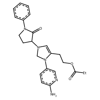 CCC(=O)OCCC1=CN(C2CCN(c3ccccc3)C2=O)CN1c1ccc(N)nc1